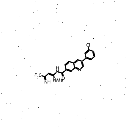 CN/C(=C\C(=N)C(F)(F)F)NC(=O)c1ccc2cc(-c3cccc(Cl)c3)cnc2c1